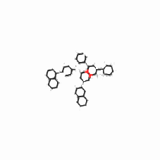 c1cc(-c2ccc3ccccc3c2)cc(N(c2ccc(-c3cccc4ccccc34)cc2)c2ccccc2-c2ccc3oc4ccccc4c3c2)c1